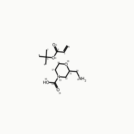 C=CC(=O)OC(C)(C)C.NCC1CN(C(=O)O)CCO1